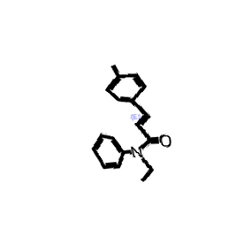 CCN(C(=O)/C=C/c1ccc(C)cc1)c1ccccc1